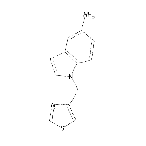 Nc1ccc2c(ccn2Cc2cscn2)c1